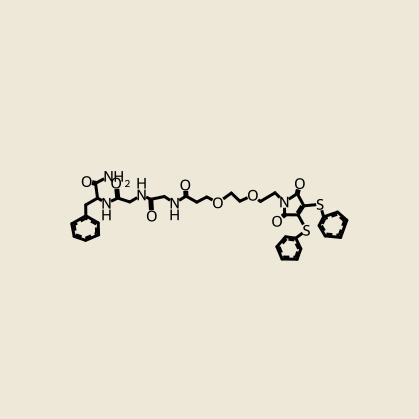 NC(=O)C(Cc1ccccc1)NC(=O)CNC(=O)CNC(=O)CCOCCOCCN1C(=O)C(Sc2ccccc2)=C(Sc2ccccc2)C1=O